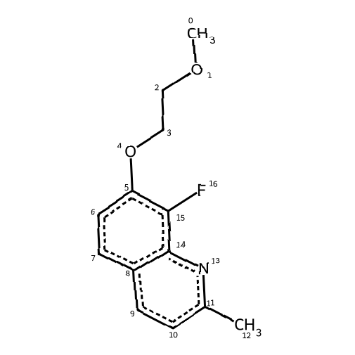 COCCOc1ccc2ccc(C)nc2c1F